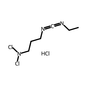 CCN=C=NCCCN(Cl)Cl.Cl